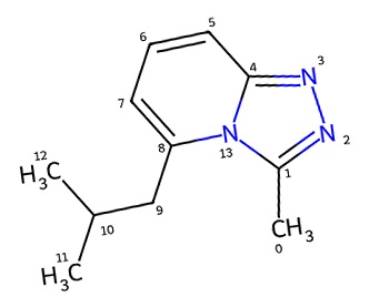 Cc1nnc2cccc(CC(C)C)n12